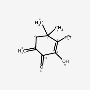 C=C1CC(C)(C)C(CCC)=C(O)C1=O